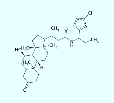 CCC(NC(=O)C[C@@H](C)C1CC[C@@]2(C)C3[C@H](O)CC4CC(=O)CCC4(C)[C@H]3CCC12C)c1ccc(Cl)s1